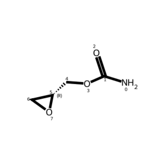 NC(=O)OC[C@H]1CO1